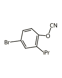 CC(C)c1cc(Br)ccc1OC#N